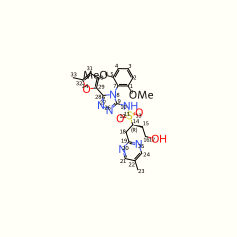 COc1cccc(OC)c1-n1c(NS(=O)(=O)[C@@H](CCO)Cc2ncc(C)cn2)nnc1-c1ccc(C)o1